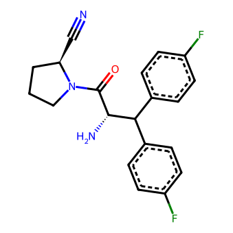 N#C[C@@H]1CCCN1C(=O)[C@@H](N)C(c1ccc(F)cc1)c1ccc(F)cc1